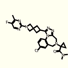 Cc1nc(N2CC3(CC(c4nnc5n4-c4ccc(Cl)cc4CN(C4(C(=O)N(C)C)CC4)C5)C3)C2)ncc1F